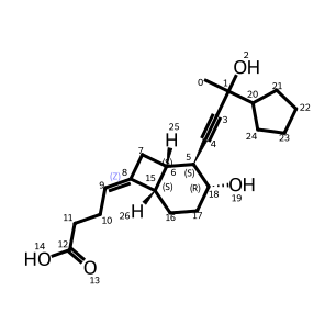 CC(O)(C#C[C@@H]1[C@H]2C/C(=C/CCC(=O)O)[C@H]2CC[C@H]1O)C1CCCC1